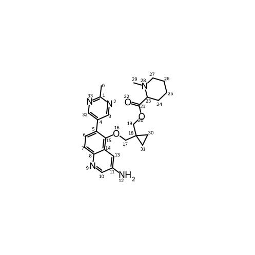 Cc1ncc(-c2ccc3ncc(N)cc3c2OCC2(COC(=O)C3CCCCN3C)CC2)cn1